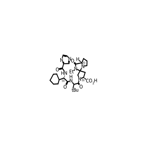 CCN1C(=O)[C@@H]2CCCN2C12C[C@@H](C(=O)O)N(C(=O)C(NC(=O)[C@@H](NC(=O)c1cnccn1)C1CCCCC1)C(C)(C)C)C2